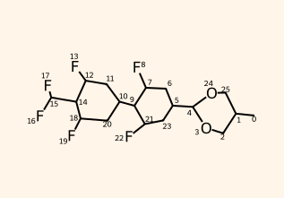 CC1COC(C2CC(F)C(C3CC(F)C(C(F)F)C(F)C3)C(F)C2)OC1